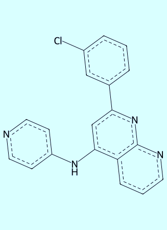 Clc1cccc(-c2cc(Nc3ccncc3)c3cccnc3n2)c1